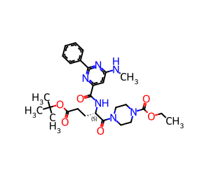 CCOC(=O)N1CCN(C(=O)[C@H](CCC(=O)OC(C)(C)C)NC(=O)c2cc(NC)nc(-c3ccccc3)n2)CC1